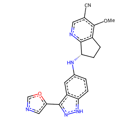 COc1c(C#N)cnc2c1CC[C@@H]2Nc1ccc2[nH]nc(-c3cnco3)c2c1